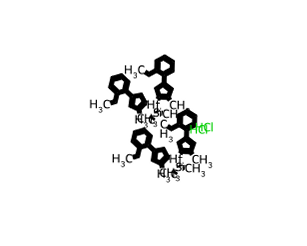 CCc1ccccc1C1=CC(C)=[C]([Hf]([C]2=C(C)C=C(c3ccccc3CC)C2)=[Si](C)C)C1.CCc1ccccc1C1=CC(C)=[C]([Hf]([C]2=C(C)C=C(c3ccccc3CC)C2)=[Si](C)C)C1.Cl.Cl